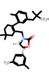 Cc1cc([C@H]2OC(=O)N(CC3=C(c4cc(CC(C)(C)C(=O)O)ccc4C)CCC(C)(C)C3)[C@H]2C)cc(C(F)(F)F)c1